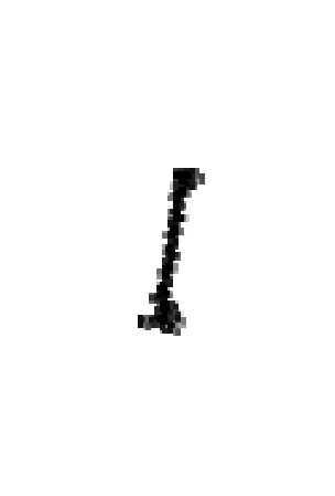 CC(C)(C)OC(=O)NCCOCCOCCOCCOCCOCCOS(C)(=O)=O